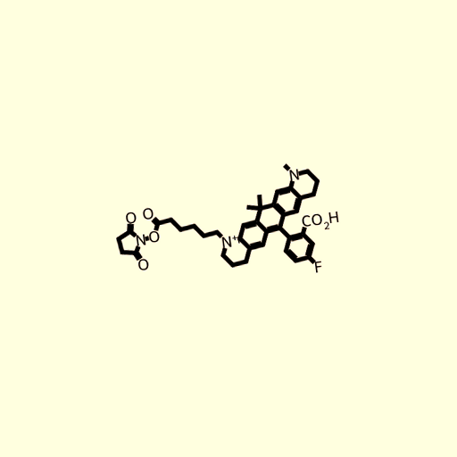 CN1CCCc2cc3c(cc21)C(C)(C)c1cc2c(cc1=C3c1ccc(F)cc1C(=O)O)CCC[N+]=2CCCCCC(=O)ON1C(=O)CCC1=O